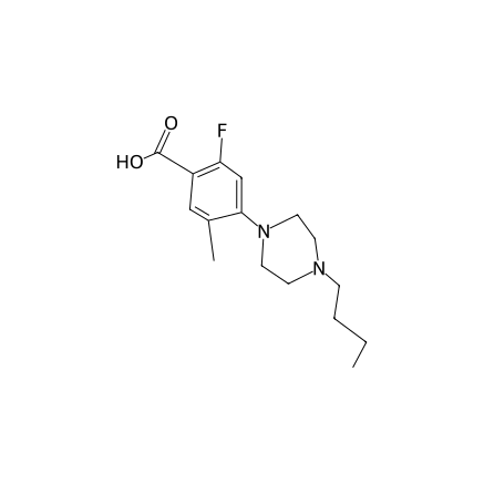 CCCCN1CCN(c2cc(F)c(C(=O)O)cc2C)CC1